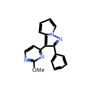 COc1nccc(-c2c(-c3ccccc3)nn3ccccc23)n1